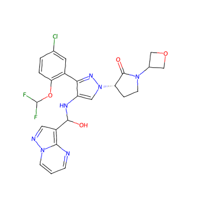 O=C1[C@@H](n2cc(NC(O)c3cnn4cccnc34)c(-c3cc(Cl)ccc3OC(F)F)n2)CCN1C1COC1